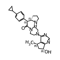 C[C@@H]1C[C@@H](O)c2ncnc(N3CCN(C(=O)[C@@H](c4ccc(C5CC5)cc4)[C@@H]4CCCN4)CC3)c21